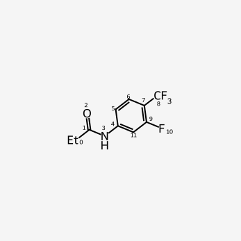 CCC(=O)Nc1ccc(C(F)(F)F)c(F)c1